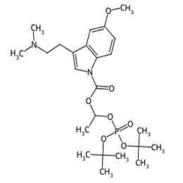 COc1ccc2c(c1)c(CCN(C)C)cn2C(=O)OC(C)OP(=O)(OC(C)(C)C)OC(C)(C)C